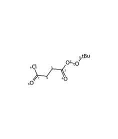 CC(C)(C)OOC(=O)CCC(=O)Cl